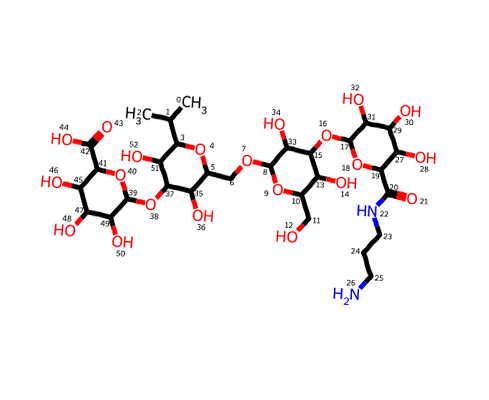 CC(C)C1OC(COC2OC(CO)C(O)C(OC3OC(C(=O)NCCCN)C(O)C(O)C3O)C2O)C(O)C(OC2OC(C(=O)O)C(O)C(O)C2O)C1O